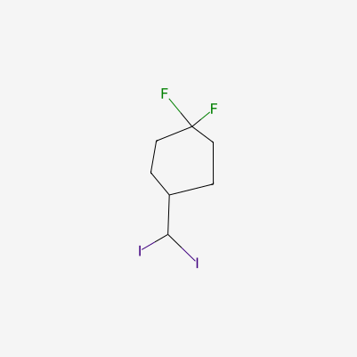 FC1(F)CCC(C(I)I)CC1